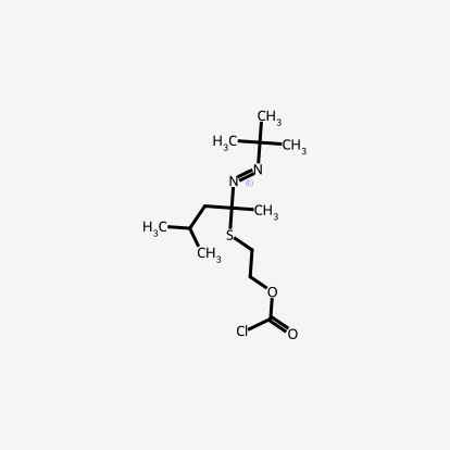 CC(C)CC(C)(/N=N/C(C)(C)C)SCCOC(=O)Cl